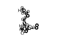 Cc1nn(C)c(C)c1-c1c(Cl)ccc2c(CCCOc3cccc4ccccc34)c(C(=O)O)n(CC[N+]3(O)CCN(C(=O)COc4cccc5c4CN(C4CCC(=O)NC4=O)C5=O)CC3)c12